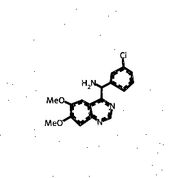 COc1cc2ncnc(C(N)c3cccc(Cl)c3)c2cc1OC